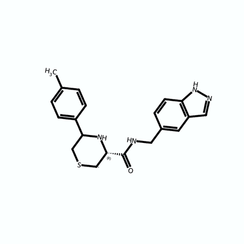 Cc1ccc(C2CS[CH][C@@H](C(=O)NCc3ccc4[nH]ncc4c3)N2)cc1